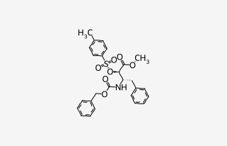 COC(=O)[C@H](OS(=O)(=O)c1ccc(C)cc1)[C@H](Cc1ccccc1)NC(=O)OCc1ccccc1